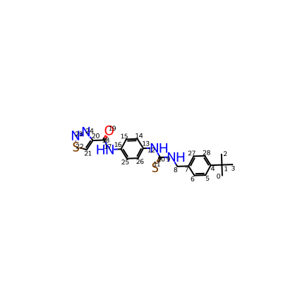 CC(C)(C)c1ccc(CNC(=S)Nc2ccc(NC(=O)c3csnn3)cc2)cc1